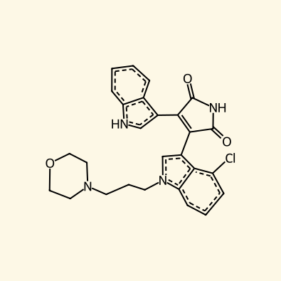 O=C1NC(=O)C(c2cn(CCCN3CCOCC3)c3cccc(Cl)c23)=C1c1c[nH]c2ccccc12